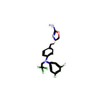 NC1=N[C@@H](CCc2ccc(N(CC(F)(F)F)c3cc(Cl)cc(Cl)c3)cc2)CO1